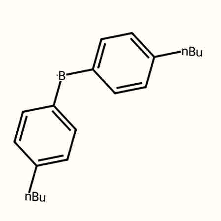 CCCCc1ccc([B]c2ccc(CCCC)cc2)cc1